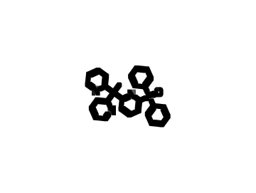 CC(c1ccccn1)(c1ccccn1)c1cccc(P(=O)(c2ccccc2)c2ccccc2)n1